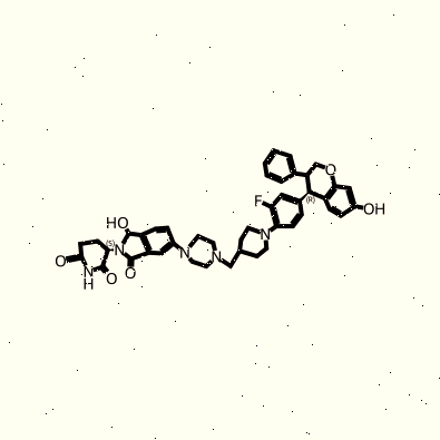 O=C1CC[C@H](N2C(=O)c3cc(N4CCN(CC5CCN(c6ccc([C@@H]7c8ccc(O)cc8OCC7c7ccccc7)cc6F)CC5)CC4)ccc3C2O)C(=O)N1